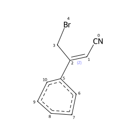 N#C/C=C(\CBr)c1ccccc1